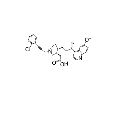 COc1ccc2nccc(C(F)CC[C@@H]3CCN(CC#Cc4ccccc4Cl)C[C@@H]3CC(=O)O)c2c1